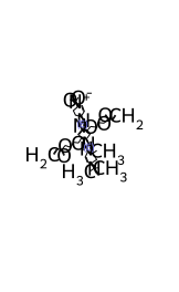 C=CC(=O)OCCOC1=CC(/N=N/C2C=CC(N(C)C)CC2C)C(OCCOC(=O)C=C)C=C1/N=N/C1C=CC([N+](=O)[O-])CC1